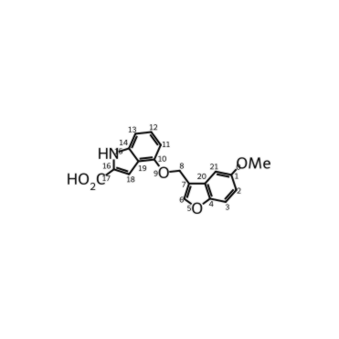 COc1ccc2occ(COc3cccc4[nH]c(C(=O)O)cc34)c2c1